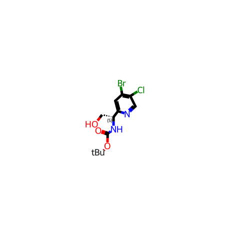 CC(C)(C)OC(=O)N[C@H](CO)c1cc(Br)c(Cl)cn1